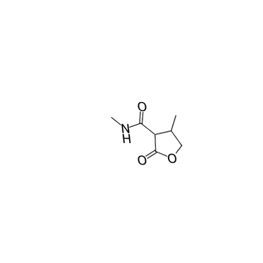 CNC(=O)C1C(=O)OCC1C